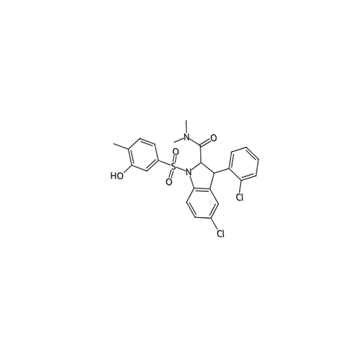 Cc1ccc(S(=O)(=O)N2c3ccc(Cl)cc3C(c3ccccc3Cl)C2C(=O)N(C)C)cc1O